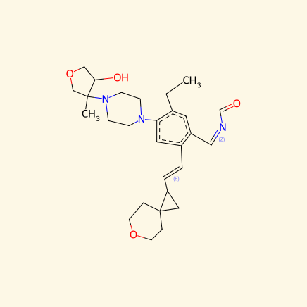 CCc1cc(/C=N\C=O)c(/C=C/C2CC23CCOCC3)cc1N1CCN(C2(C)COCC2O)CC1